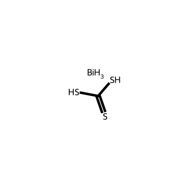 S=C(S)S.[BiH3]